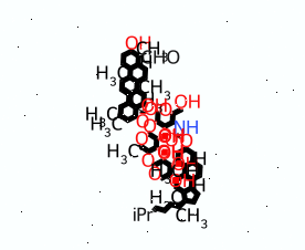 CC(C)CCC[C@@H](C)C1CC[C@H]2[C@H]3CC[C@H]4C[C@@H](OC(=O)N[C@H]5C(CO)O[C@@H](OC(=O)[C@]67CCC(C)(C)CC6C6=CCC8C9(C)CC[C@H](O)[C@](C)(C=O)[C@@H]9CCC8(C)[C@]6(C)CC7O)C(O[C@@H]6OC(C)[C@H](O[C@@H]7OC[C@@H](O)C(O)C7O)C(O)C6O)C5O)CCC4(C)C3CCC12C